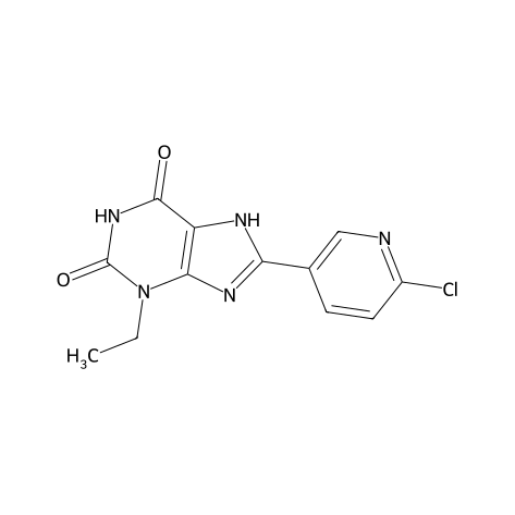 CCn1c(=O)[nH]c(=O)c2[nH]c(-c3ccc(Cl)nc3)nc21